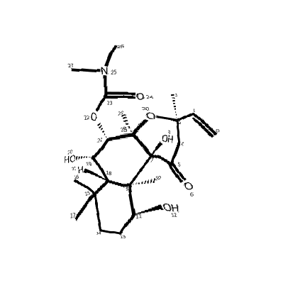 C=C[C@@]1(C)CC(=O)[C@]2(O)[C@@]3(C)[C@@H](O)CCC(C)(C)[C@@H]3[C@H](O)[C@H](OC(=O)N(C)C)[C@@]2(C)O1